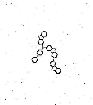 C1=Cc2c(sc3ccc(N(c4ccc(-c5ccccc5)cc4)c4ccc5sc6ccc(-c7ccc8sc9ccccc9c8c7)cc6c5c4)cc23)CC1